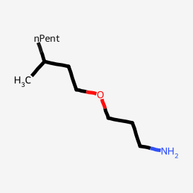 CCCCCC(C)CCOCCCN